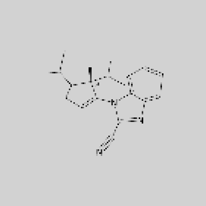 CC(C)C1CC=C(n2c(C#N)nc3ccccc32)[C@@]1(C)C(C)C